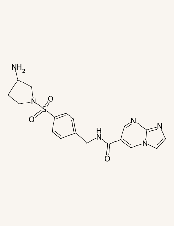 NC1CCN(S(=O)(=O)c2ccc(CNC(=O)c3cnc4nccn4c3)cc2)C1